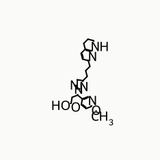 COc1ccc(C(CC(=O)O)n2ncc(CCCc3ccc4c(n3)NCCC4)n2)cn1